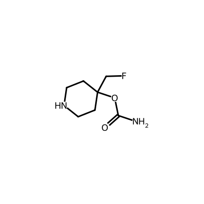 NC(=O)OC1(CF)CCNCC1